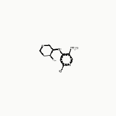 CCOC(=O)c1cnc(Cl)cc1NC1COCCC1O